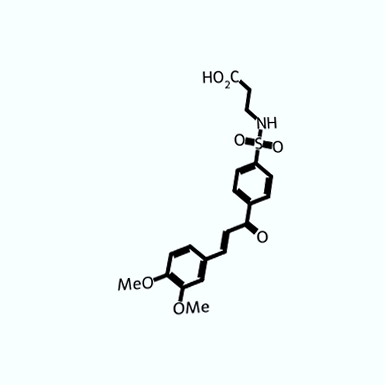 COc1ccc(/C=C/C(=O)c2ccc(S(=O)(=O)NCCC(=O)O)cc2)cc1OC